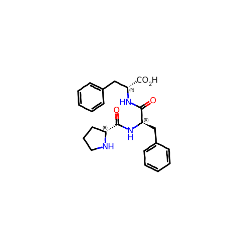 O=C(O)[C@@H](Cc1ccccc1)NC(=O)[C@@H](Cc1ccccc1)NC(=O)[C@H]1CCCN1